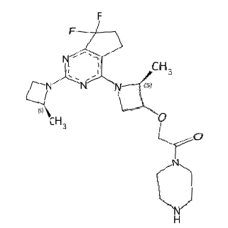 C[C@H]1CCN1c1nc(N2CC(OCC(=O)N3CCNCC3)[C@@H]2C)c2c(n1)C(F)(F)CC2